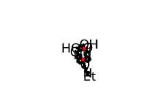 CCN(C)CCCOc1ccc2c(c1)CN(C(=O)c1cc(C(=O)N(C)Cc3ccccc3)c(O)cc1O)C2